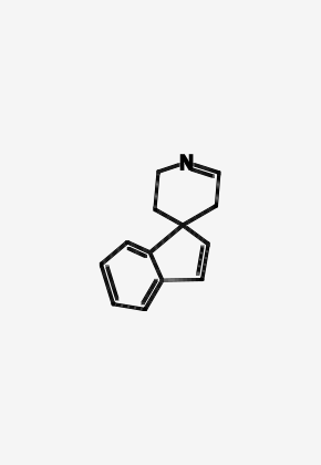 C1=CC2(CC=NCC2)c2ccccc21